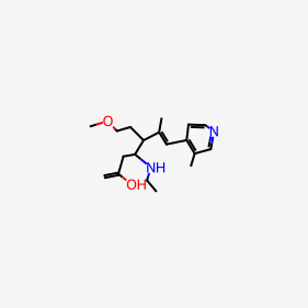 C=C(O)CC(NCC)C(CCOC)/C(C)=C/c1ccncc1C